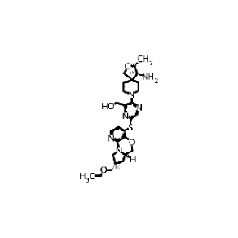 CCOC[C@H]1C[C@H]2COc3c(Sc4cnc(N5CCC6(CC5)CO[C@@H](C)[C@H]6N)c(CO)n4)ccnc3N2C1